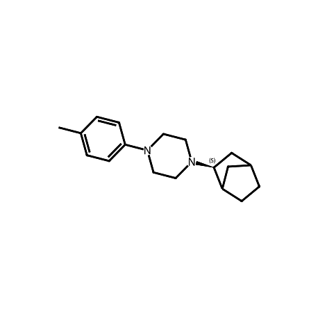 Cc1ccc(N2CCN([C@H]3CC4CCC3C4)CC2)cc1